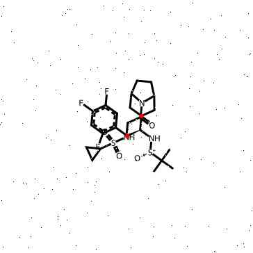 CC(C)(C)[S@+]([O-])N[C@@H](Cc1cc(F)c(F)cc1F)C1CC2CCC(C1)N2C(=O)CNS(=O)(=O)C1CC1